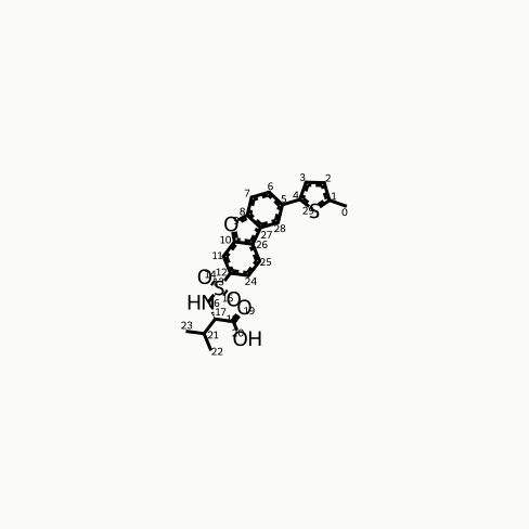 Cc1ccc(-c2ccc3oc4cc(S(=O)(=O)N[C@H](C(=O)O)C(C)C)ccc4c3c2)s1